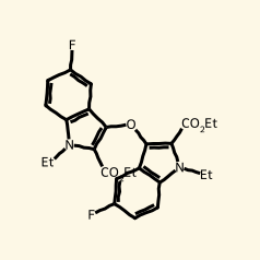 CCOC(=O)c1c(Oc2c(C(=O)OCC)n(CC)c3ccc(F)cc23)c2cc(F)ccc2n1CC